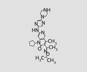 C/C(=N\OC(C)C)c1c(C)c2cnc(Nc3cnc(N4CCNCC4)cn3)cc2n(C2CCCC2)c1=O